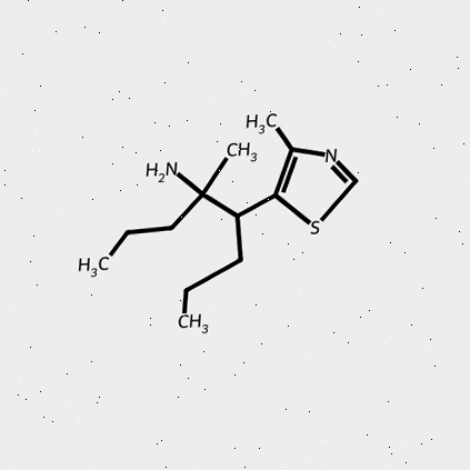 CCCC(c1scnc1C)C(C)(N)CCC